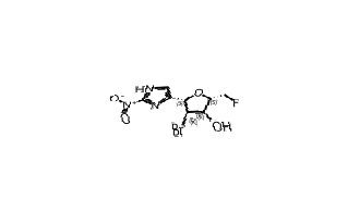 O=[N+]([O-])c1nc([C@@H]2O[C@H](CF)[C@@H](O)[C@H]2Br)c[nH]1